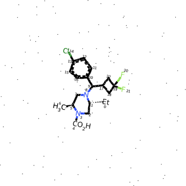 CC[C@@H]1CN(C(=O)O)[C@@H](C)CN1C(c1ccc(Cl)cc1)C1CC(F)(F)C1